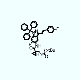 CC(C)(C)OC(=O)NCC1(C(=O)Nc2cc3c(C=Cc4ccc(F)cc4)nn(C(c4ccccc4)(c4ccccc4)c4ccccc4)c3cc2F)CC1